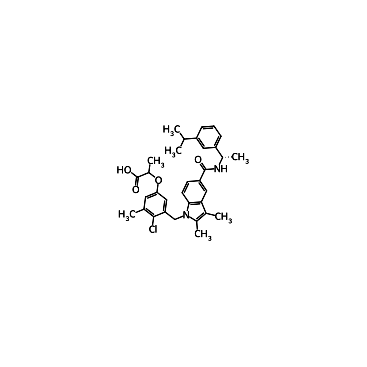 Cc1cc(OC(C)C(=O)O)cc(Cn2c(C)c(C)c3cc(C(=O)N[C@@H](C)c4cccc(C(C)C)c4)ccc32)c1Cl